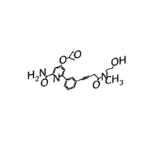 CN(CCO)C(=O)CC#Cc1cccc(-c2cc(OC3COC3)cc(C(N)=O)n2)c1